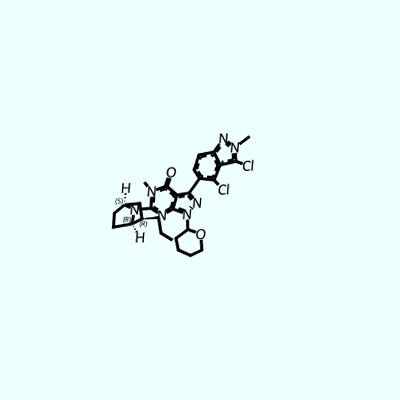 CCC[C@@H]1C[C@@H]2CC[C@H]1N2c1nc2c(c(-c3ccc4nn(C)c(Cl)c4c3Cl)nn2C2CCCCO2)c(=O)n1C